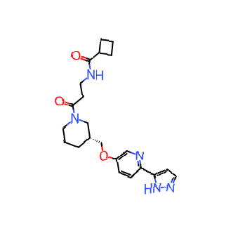 O=C(NCCC(=O)N1CCC[C@@H](COc2ccc(-c3ccn[nH]3)nc2)C1)C1CCC1